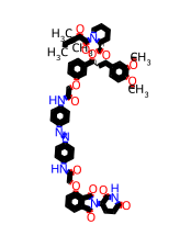 CCC(C)(C)C(=O)C(=O)N1CCCC[C@H]1C(=O)O[C@H](CCc1ccc(OC)c(OC)c1)c1cccc(OCC(=O)Nc2ccc(/N=N/c3ccc(NC(=O)COc4cccc5c4C(=O)N(C4CCC(=O)NC4=O)C5=O)cc3)cc2)c1